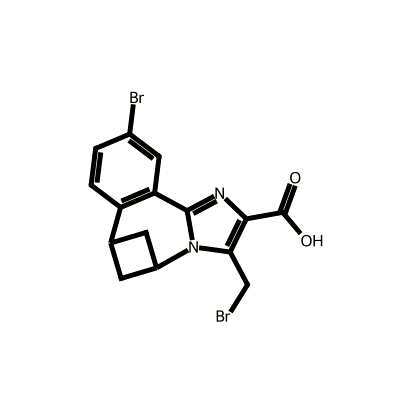 O=C(O)c1nc2n(c1CBr)C1CC(C1)c1ccc(Br)cc1-2